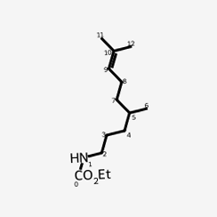 CCOC(=O)NCCCC(C)CCC=C(C)C